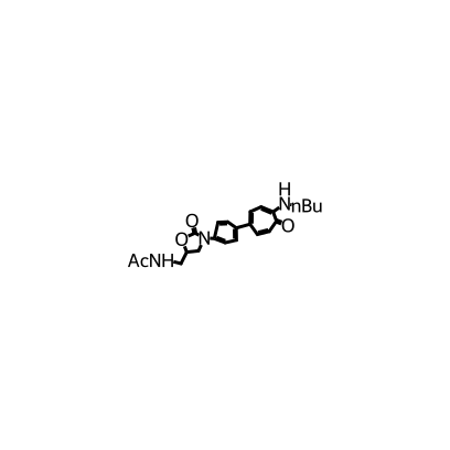 CCCCNc1ccc(-c2ccc(N3CC(CNC(C)=O)OC3=O)cc2)ccc1=O